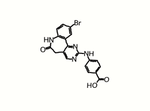 O=C1Cc2cnc(Nc3ccc(C(=O)O)cc3)nc2-c2cc(Br)ccc2N1